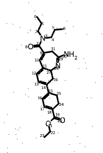 CCCN(CCC)C(=O)C1=CC2=CC=C(C3=CC=C(C(=O)OCC)CC3)CC2N=C(N)C1